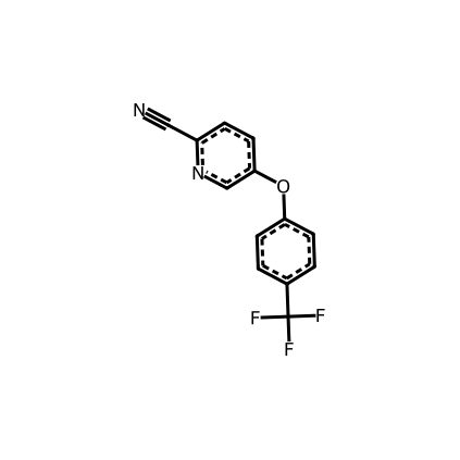 N#Cc1ccc(Oc2ccc(C(F)(F)F)cc2)cn1